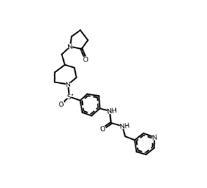 O=C(NCc1cccnc1)Nc1ccc([S+]([O-])N2CCC(CN3CCCC3=O)CC2)cc1